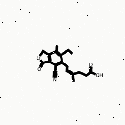 CCc1c(C)c2c(c(C#N)c1CC=C(C)CCC(=O)O)C(=O)OC2